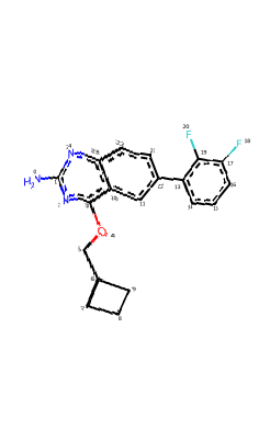 Nc1nc(OCC2CCC2)c2cc(-c3cccc(F)c3F)ccc2n1